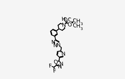 CC(C)(C)OC(=O)N1CCC(c2cccc(-c3cn(Cc4ccc(-c5nnc(C(F)F)o5)cn4)nn3)c2)CC1